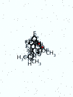 [2H]N1C(=O)N2C3=C(C(c4ccc(F)cc4F)=C(C(F)(F)F)CC3([2H])C1([2H])N1C[C@@H](C)N[C@@H](C)C1)S([2H])([2H])([2H])([2H])C([2H])([2H])[C@]2([2H])COCC